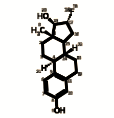 C[C@]12CC[C@@H]3c4ccc(O)cc4CC[C@H]3C1C[C@@H]([18F])[C@@H]2O